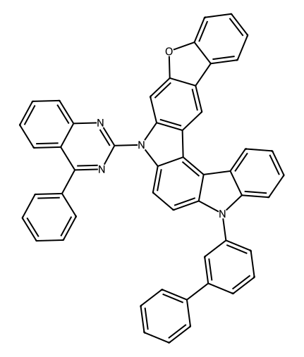 c1ccc(-c2cccc(-n3c4ccccc4c4c5c6cc7c(cc6n(-c6nc(-c8ccccc8)c8ccccc8n6)c5ccc43)oc3ccccc37)c2)cc1